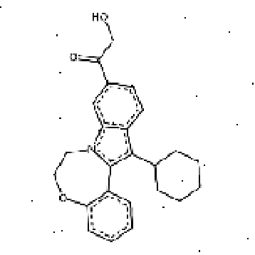 O=C(CO)c1ccc2c(C3CCCCC3)c3n(c2c1)CCOc1ccccc1-3